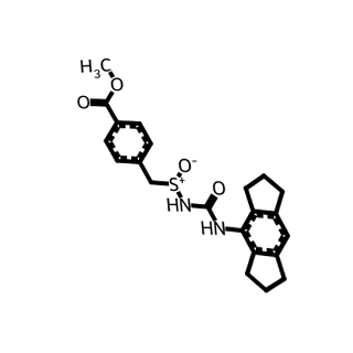 COC(=O)c1ccc(C[S+]([O-])NC(=O)Nc2c3c(cc4c2CCC4)CCC3)cc1